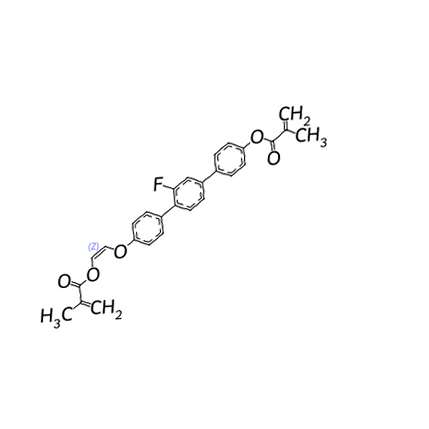 C=C(C)C(=O)O/C=C\Oc1ccc(-c2ccc(-c3ccc(OC(=O)C(=C)C)cc3)cc2F)cc1